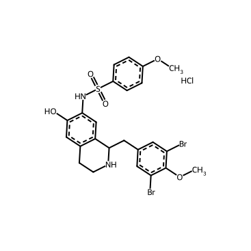 COc1ccc(S(=O)(=O)Nc2cc3c(cc2O)CCNC3Cc2cc(Br)c(OC)c(Br)c2)cc1.Cl